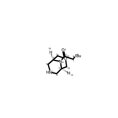 CC(C)(C)CC(=O)N1[C@@H]2CNC[C@H]1COC2